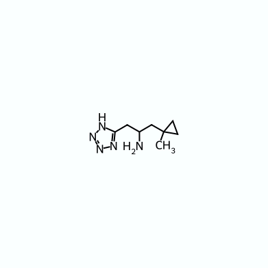 CC1(CC(N)Cc2nnn[nH]2)CC1